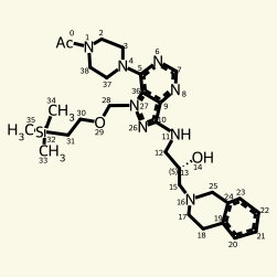 CC(=O)N1CCN(c2ncnc3c(NC[C@H](O)CN4CCc5ccccc5C4)nn(COCC[Si](C)(C)C)c23)CC1